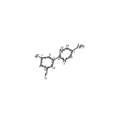 CCCc1cnc(-c2cc(F)cc(F)c2)nc1